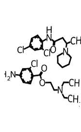 CC(CC(=O)Nc1ccc(Cl)cc1Cl)N1CCCCC1.CCN(CC)CCOC(=O)c1ccc(N)cc1Cl